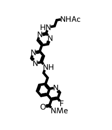 CNC(=O)c1c(F)cnc2c(CCNc3cc(-c4cnc(NCCNC(C)=O)nc4)ncn3)cccc12